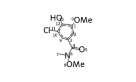 COc1cc(C(=O)N(C)OC)cc(Cl)c1O